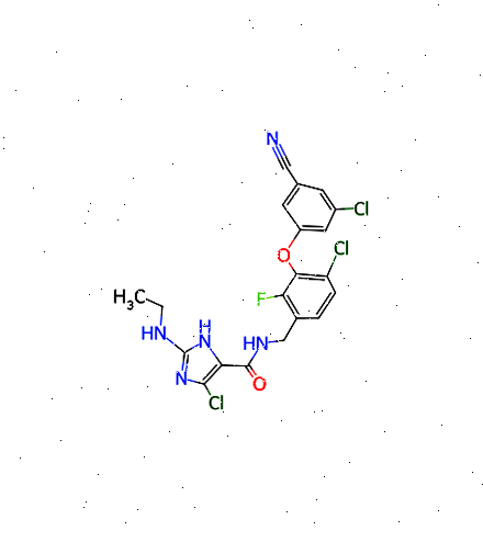 CCNc1nc(Cl)c(C(=O)NCc2ccc(Cl)c(Oc3cc(Cl)cc(C#N)c3)c2F)[nH]1